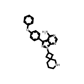 Nc1ncnc2c1c(-c1ccc(Oc3ccccc3)cc1)nn2C1CC2(CCCNC2)C1